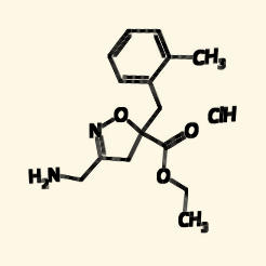 CCOC(=O)C1(Cc2ccccc2C)CC(CN)=NO1.Cl